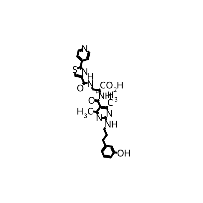 Cc1nc(NCCCc2cccc(O)c2)nc(C)c1C(=O)N[C@@H](CNC(=O)c1csc(-c2ccncc2)n1)C(=O)O